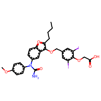 CCCCc1oc2ccc(N(C(N)=O)c3ccc(OC)cc3)cc2c1OCc1cc(I)c(OCC(=O)O)c(I)c1